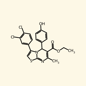 CCOC(=O)C1=C(C)N=C2SC=C(c3ccc(Cl)c(Cl)c3)N2C1c1ccc(O)cc1